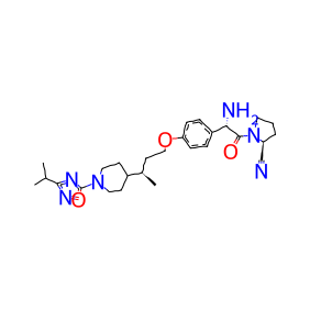 CC(C)c1noc(N2CCC([C@H](C)CCOc3ccc([C@H](N)C(=O)N4CCC[C@H]4C#N)cc3)CC2)n1